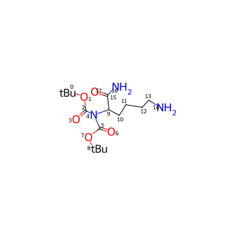 CC(C)(C)OC(=O)N(C(=O)OC(C)(C)C)C(CCCCN)C(N)=O